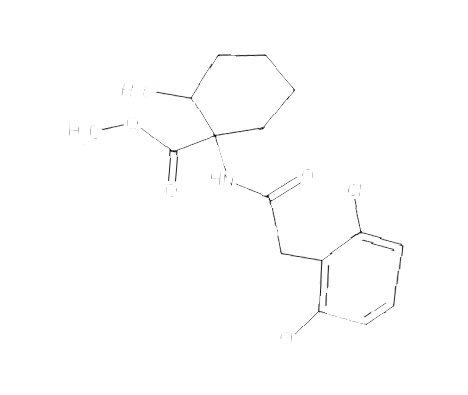 COC(=O)C1(NC(=O)Cc2c(Cl)cccc2Cl)CCCCC1C